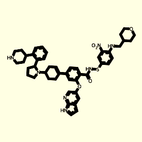 O=C(NSc1ccc(NCC2CCOCC2)c([N+](=O)[O-])c1)c1ccc(C2=CCC(N3CCCC3c3ccccc3C3CCNCC3)CC2)cc1Oc1cnc2[nH]ccc2c1